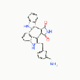 Cc1[nH]c2ccccc2c1C1=C(c2c(Cc3cccc(CN)c3)[nH]c3ccccc23)C(=O)NC1=O